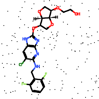 OCCO[C@@H]1CO[C@H]2[C@@H]1OC[C@H]2Oc1nc2nc(NCc3c(F)cccc3F)c(Cl)cc2[nH]1